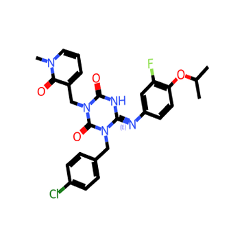 CC(C)Oc1ccc(/N=c2\[nH]c(=O)n(Cc3cccn(C)c3=O)c(=O)n2Cc2ccc(Cl)cc2)cc1F